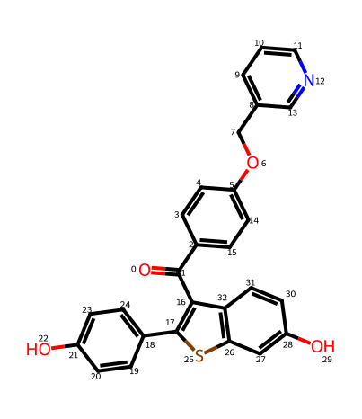 O=C(c1ccc(OCc2cccnc2)cc1)c1c(-c2ccc(O)cc2)sc2cc(O)ccc12